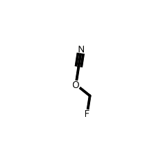 N#COCF